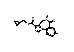 CN1Cc2c(C(=O)OCC3CC3)ncn2-c2ccc(F)cc2C1=O